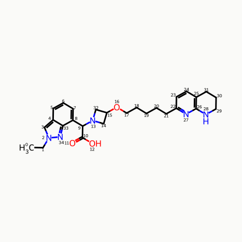 CCn1cc2cccc(C(C(=O)O)N3CC(OCCCCCc4ccc5c(n4)NCCC5)C3)c2n1